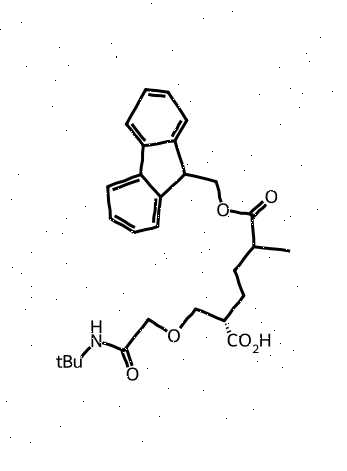 CC(CC[C@@H](COCC(=O)NC(C)(C)C)C(=O)O)C(=O)OCC1c2ccccc2-c2ccccc21